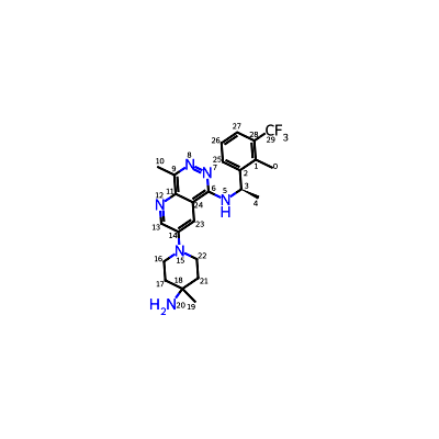 Cc1c([C@@H](C)Nc2nnc(C)c3ncc(N4CCC(C)(N)CC4)cc23)cccc1C(F)(F)F